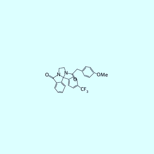 COc1ccc(CC(=O)N2CCN3C(=O)c4ccccc4C23c2ccc(C(F)(F)F)cc2)cc1